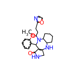 COc1ccccc1C1C2=C(CNC2=O)NC2CCCCC2N1C(=O)CCc1ncco1